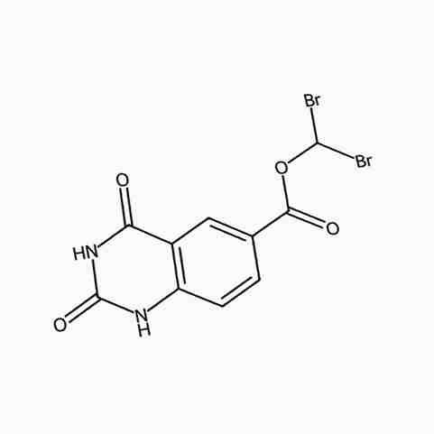 O=C(OC(Br)Br)c1ccc2[nH]c(=O)[nH]c(=O)c2c1